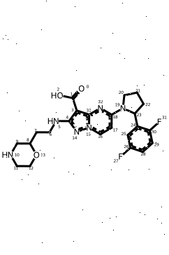 O=C(O)c1c(NCCC2CNCCO2)nn2ccc(N3CCCC3c3cc(F)ccc3F)nc12